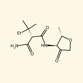 CCC(C)(C)[C@@H](C(N)=O)C(=O)N[C@@H]1C(=O)CO[C@H]1C